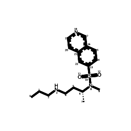 CCCNCC[C@@H](C)N(C)S(=O)(=O)c1ccc2cnccc2c1